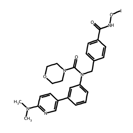 CN(C)c1ccc(-c2cccc(N(Cc3ccc(C(=O)NOI)cc3)C(=O)N3CCOCC3)c2)cn1